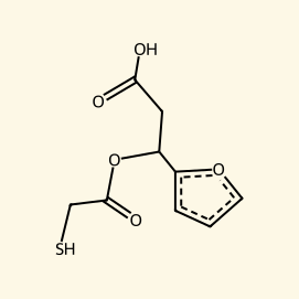 O=C(O)CC(OC(=O)CS)c1ccco1